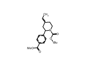 CC=C1CCN(C(=O)OC(C)(C)C)C(c2ccc(C(=O)OC)cc2)C1